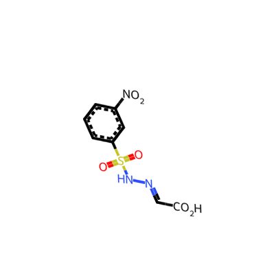 O=C(O)C=NNS(=O)(=O)c1cccc([N+](=O)[O-])c1